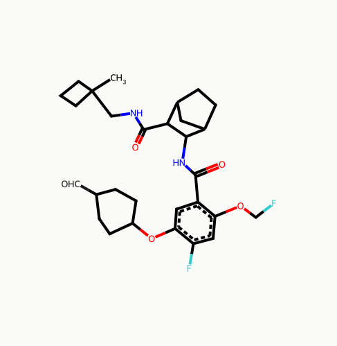 CC1(CNC(=O)C2C3CCC(C3)C2NC(=O)c2cc(OC3CCC(C=O)CC3)c(F)cc2OCF)CCC1